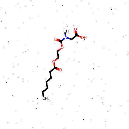 CCCCCCC(=O)OCCOC(=O)N(C)CC(=O)O